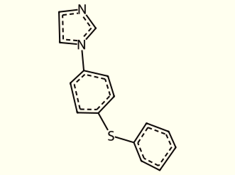 c1ccc(Sc2ccc(-n3ccnc3)cc2)cc1